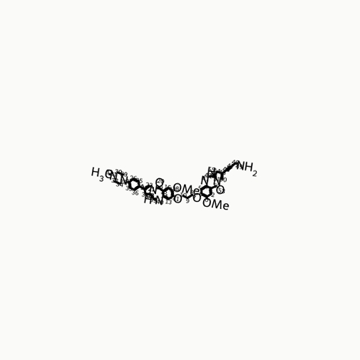 COc1cc2c(cc1OCCCOc1cc3c(cc1OC)C(=O)N1C=C(c4ccc(N5CCN(C)CC5)cc4)C[C@H]1C=N3)N=C[C@@H]1CC(C#CCN)=CN1C2=O